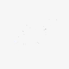 C/C(=C\C(=O)O)CCC[C@H](C)CCC[C@H](C)CCCC(C)C.[Nd]